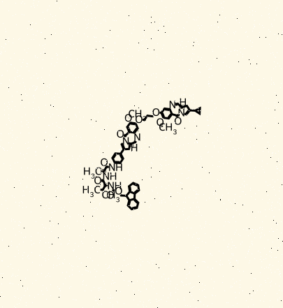 COc1cc2c(cc1OCCCOc1cc3c(cc1OC)C(=O)N1C=C(C4CC4)C[C@H]1C=N3)N=C[C@@H]1CC(c3ccc(NC(=O)[C@H](C)NC(=O)[C@@H](NC(=O)OCC4c5ccccc5-c5ccccc54)C(C)C)cc3)=CN1C2=O